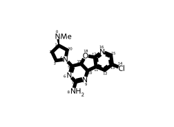 CN[C@@H]1CCN(C2=NC(N)=NC3c4cc(Cl)cnc4OC23)C1